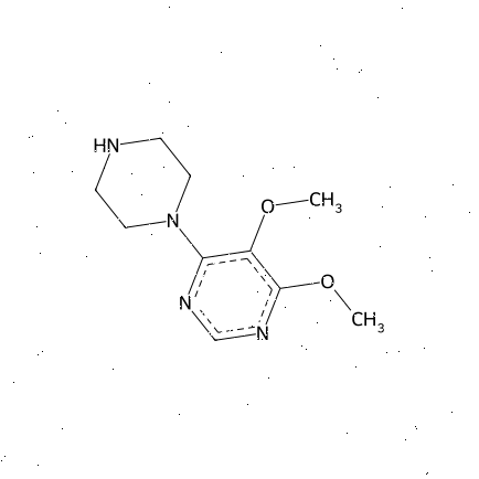 COc1ncnc(N2CCNCC2)c1OC